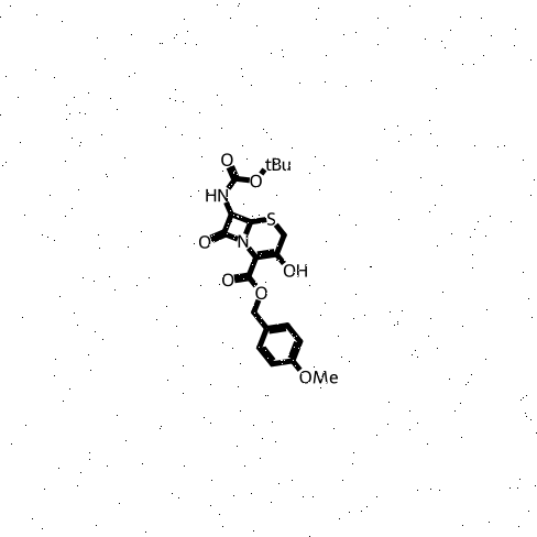 COc1ccc(COC(=O)C2=C(O)CSC3C(NC(=O)OC(C)(C)C)C(=O)N23)cc1